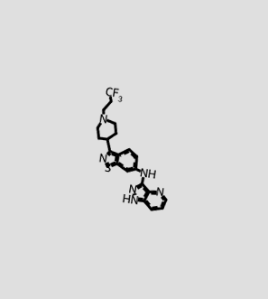 FC(F)(F)CCN1CCC(c2nsc3cc(Nc4n[nH]c5cccnc45)ccc23)CC1